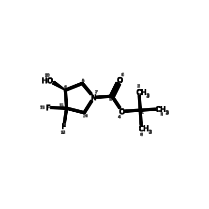 CC(C)(C)OC(=O)N1C[C@H](O)C(F)(F)C1